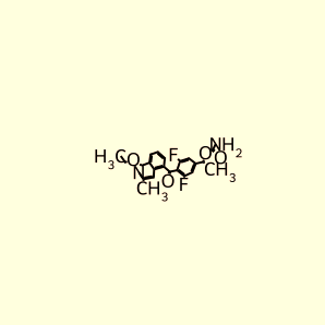 CCOc1nc(C)cc2c(C(=O)c3c(F)cc(C(C)OC(N)=O)cc3F)cccc12